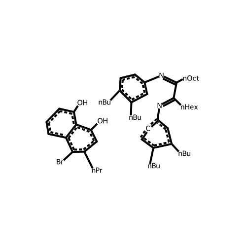 CCCCCCCCC(=Nc1ccc(CCCC)c(CCCC)c1)C(CCCCCC)=Nc1ccc(CCCC)c(CCCC)c1.CCCc1cc(O)c2c(O)cccc2c1Br